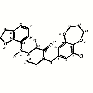 CC(C)CN(Cc1cc(Cl)c2c(c1)OCCCO2)C(=O)C(C)CN(C)c1cccc2c1OCC2